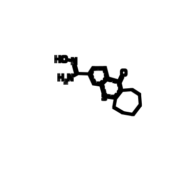 N/C(=N\O)c1ccc2c(=O)c3c(sc2c1)CCCCCC3